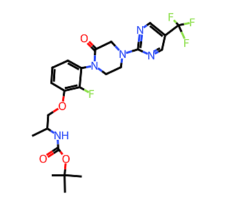 CC(COc1cccc(N2CCN(c3ncc(C(F)(F)F)cn3)CC2=O)c1F)NC(=O)OC(C)(C)C